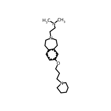 CN(C)CCN1CCc2ccc(OCCCN3CCCCC3)cc2CC1